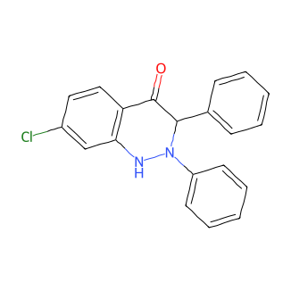 O=C1c2ccc(Cl)cc2NN(c2ccccc2)C1c1ccccc1